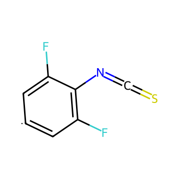 Fc1c[c]cc(F)c1N=C=S